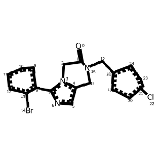 O=C1Cn2c(cnc2-c2ccccc2Br)CN1Cc1ccc(Cl)cc1